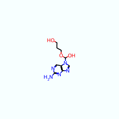 Nc1ncc2c(ncn2C(O)OCCCO)n1